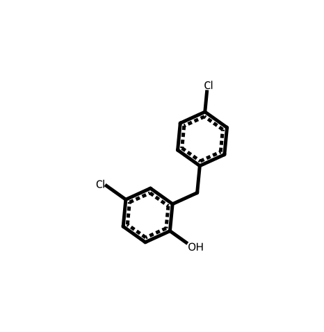 Oc1ccc(Cl)cc1Cc1ccc(Cl)cc1